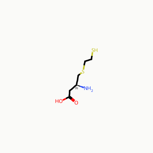 N[C@H](CSCCS)CC(=O)O